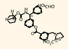 O=C(N[C@@H](c1ccccc1)c1cccc(OC(=O)c2cccc(CN3CCS[C@H]3C(=O)O)c2)c1)O[C@H]1CN2CCC1CC2.O=CO